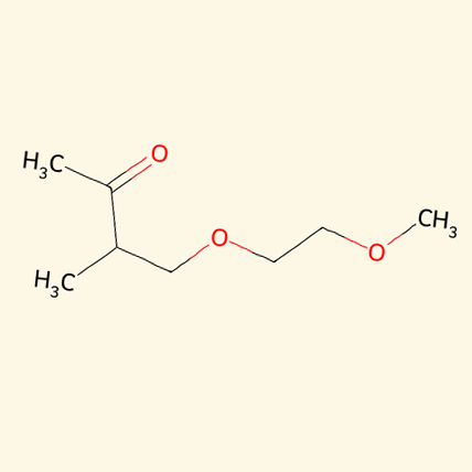 COCCOCC(C)C(C)=O